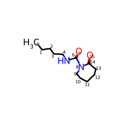 CCCCCNC(=O)N1CCCCCC1=O